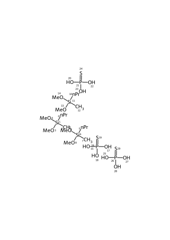 CCC[Si](C)(OC)OC.CCC[Si](C)(OC)OC.CCC[Si](C)(OC)OC.OP(O)(O)=S.OP(O)(O)=S.OP(O)(O)=S